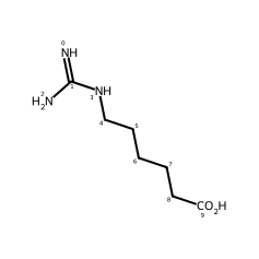 N=C(N)NCCCCCC(=O)O